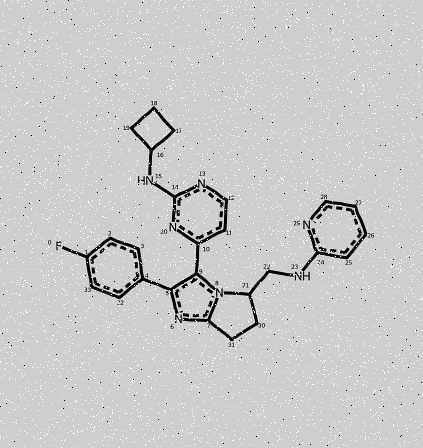 Fc1ccc(-c2nc3n(c2-c2ccnc(NC4CCC4)n2)C(CNc2ccccn2)CC3)cc1